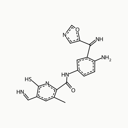 Cc1cc(C=N)c(S)nc1C(=O)Nc1ccc(N)c(C(=N)c2cnco2)c1